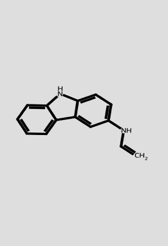 C=CNc1ccc2[nH]c3ccccc3c2c1